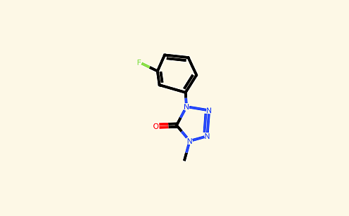 Cn1nnn(-c2cccc(F)c2)c1=O